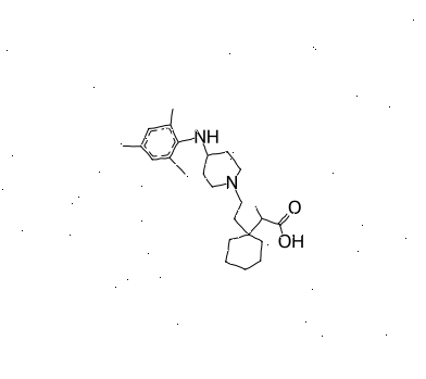 Cc1cc(C)c(NC2CCN(CCC3(C(C)C(=O)O)CCCCC3)CC2)c(C)c1